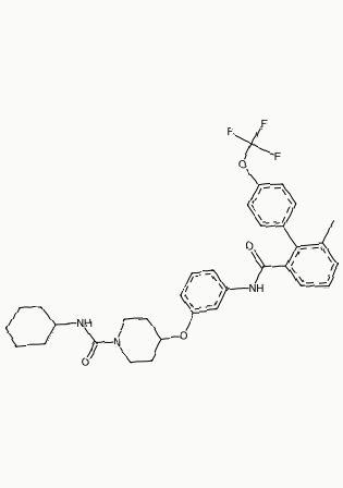 Cc1cccc(C(=O)Nc2cccc(OC3CCN(C(=O)NC4CCCCC4)CC3)c2)c1-c1ccc(OC(F)(F)F)cc1